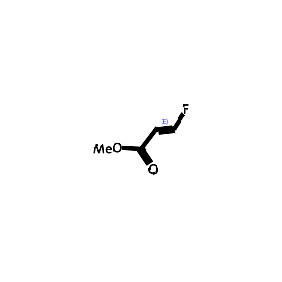 COC(=O)/C=C/F